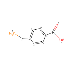 O=C(O)c1ccc(CP)cc1